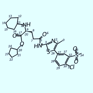 Cc1nc(NC(=O)CC[C@H](NC2CCCCC2)C(=O)OC2CCCC2)sc1-c1ccc(Cl)c(S(C)(=O)=O)c1